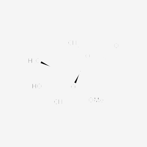 C=C1[C@H](C)[C@](C)(O)O[C@]12OC(=O)C=C2OC